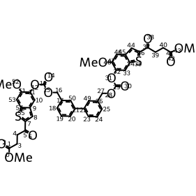 COC(=O)CCC(=O)c1cc2cc(OC(=O)OCc3cccc(-c4cccc(COC(=O)Oc5cc6sc(C(=O)CCC(=O)OC)cc6cc5OC)c4)c3)c(OC)cc2s1